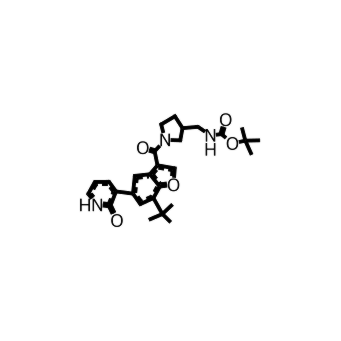 CC(C)(C)OC(=O)NCC1CCN(C(=O)c2coc3c(C(C)(C)C)cc(-c4ccc[nH]c4=O)cc23)C1